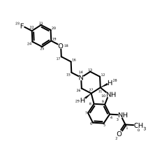 CC(=O)Nc1cccc2c1N[C@H]1CCN(CCCOc3ccc(F)cc3)C[C@@H]21